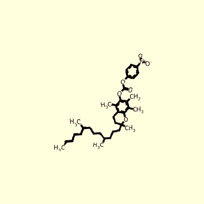 CCCCCC(C)CCCC(C)CCCC1(C)CCc2c(C)c(OC(=O)Oc3ccc([N+](=O)[O-])cc3)c(C)c(C)c2O1